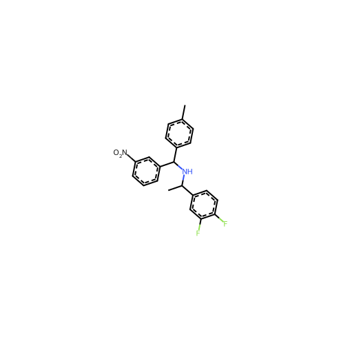 Cc1ccc(C(NC(C)c2ccc(F)c(F)c2)c2cccc([N+](=O)[O-])c2)cc1